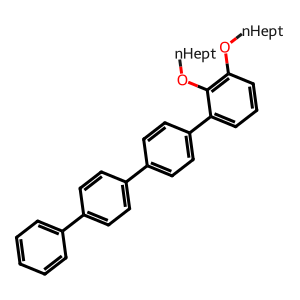 CCCCCCCOc1cccc(-c2ccc(-c3ccc(-c4ccccc4)cc3)cc2)c1OCCCCCCC